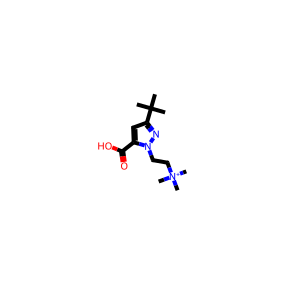 CC(C)(C)c1cc(C(=O)O)n(CC[N+](C)(C)C)n1